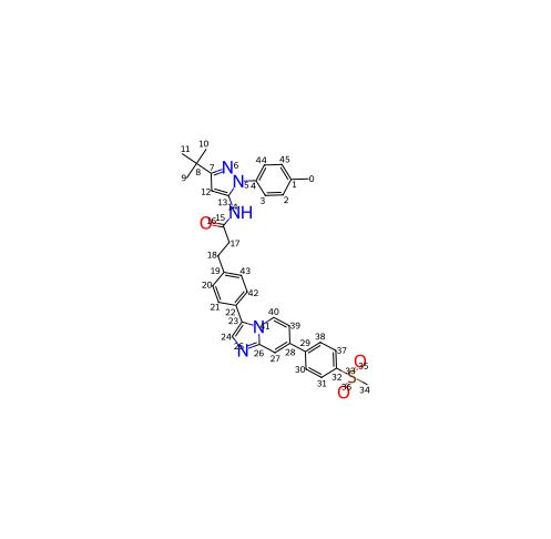 Cc1ccc(-n2nc(C(C)(C)C)cc2NC(=O)CCc2ccc(-c3cnc4cc(-c5ccc(S(C)(=O)=O)cc5)ccn34)cc2)cc1